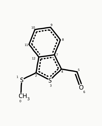 CSc1sc(C=O)c2ccccc12